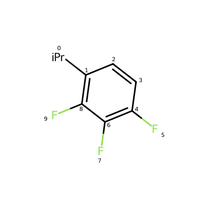 [CH2]C(C)c1ccc(F)c(F)c1F